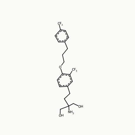 NC(CO)(CO)CCc1ccc(OCCCc2ccc(C(F)(F)F)cc2)c(C(F)(F)F)c1